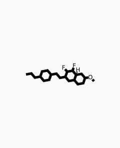 CCCC1CCC(CCC2CC3CCC(OC)C[C@@H]3C(F)C2F)CC1